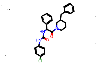 O=C(Nc1ccc(Cl)cc1)NC(C(=O)N1CCCC(Cc2ccccc2)C1)c1ccccc1